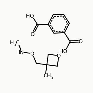 CNOCC1(C)COC1.O=C(O)c1cccc(C(=O)O)c1